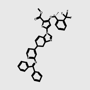 COC(=O)c1sc(-n2cnc3c2C=CC(c2ccnc(N=C(c4ccccc4)c4ccccc4)c2)C3)cc1O[C@H](C)c1ccccc1C(F)(F)F